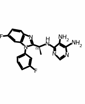 C[C@H](Nc1ncnc(N)c1N)c1nc2ccc(F)cc2n1-c1cccc(F)c1